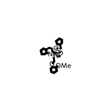 COc1ccccc1OCCN(C)C(C1CCc2ccccc2N1)S(=O)(=O)Cc1ccccc1